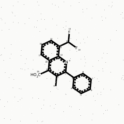 Cc1c(-c2ccccc2)nc2c(C(F)F)cccc2c1C(=O)O